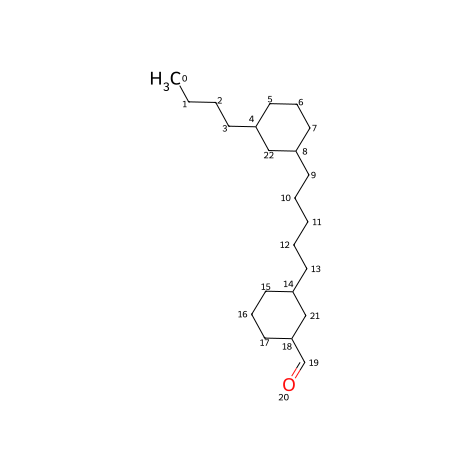 CCCCC1CCCC(CCCCCC2CCCC(C=O)C2)C1